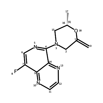 C=C1CN(c2ncc(F)c3nccnc23)C[C@H](C)O1